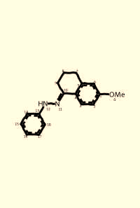 COc1ccc2c(c1)CCC/C2=N\Nc1ccccc1